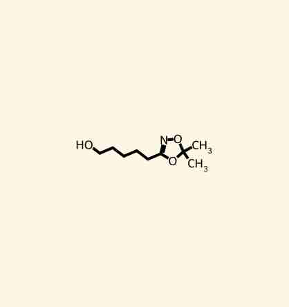 CC1(C)ON=C(CCCCCO)O1